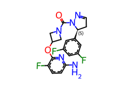 Nc1ccc(F)c(OC2CN(C(=O)N3N=CC[C@H]3c3cc(F)cc(F)c3)C2)n1